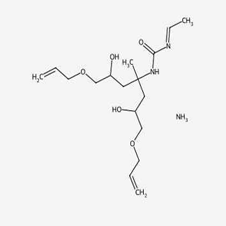 C=CCOCC(O)CC(C)(CC(O)COCC=C)NC(=O)N=CC.N